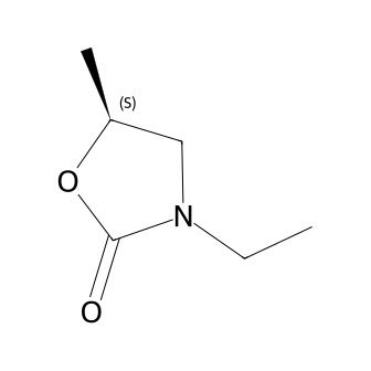 CCN1C[C@H](C)OC1=O